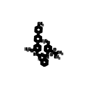 COc1ccc(Nc2nc(Nc3ccc(N4CCC(N5CCN(C)CC5)CC4)cc3OC)nc3ccccc23)c(S(=O)(=O)C(C)C)c1